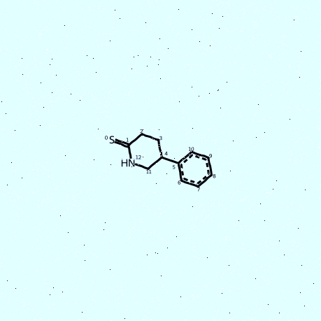 S=C1CCC(c2ccccc2)CN1